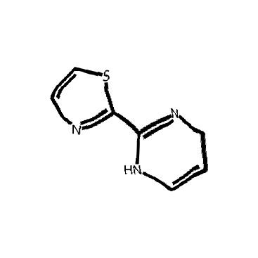 C1=CNC(c2nccs2)=NC1